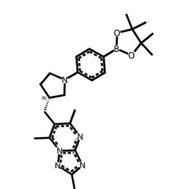 Cc1nc2nc(C)c(C[C@@H]3CCN(c4ccc(B5OC(C)(C)C(C)(C)O5)cc4)C3)c(C)n2n1